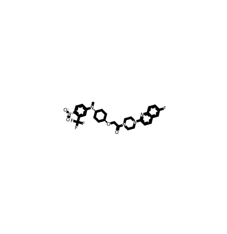 CN(c1ccc([N+](=O)[O-])c(C(F)(F)F)c1)[C@H]1CC[C@H](OCC(=O)N2CCN(c3ccc4cc(F)ccc4n3)CC2)CC1